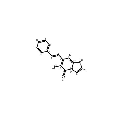 O=c1c(Cl)c(/C=C/c2ccccc2)nc2sccn12